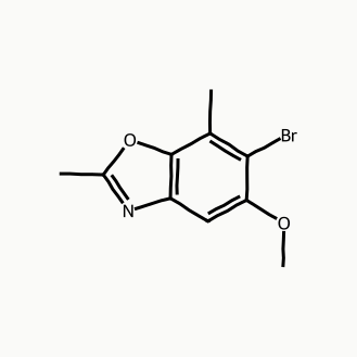 COc1cc2nc(C)oc2c(C)c1Br